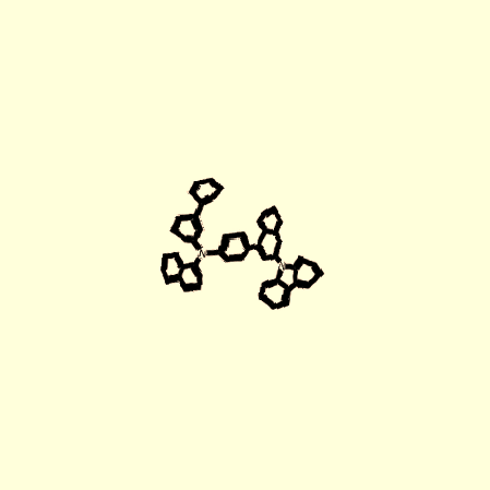 c1ccc(-c2cccc(N(c3ccc(-c4cc(-n5c6ccccc6c6ccccc65)cc5ccccc45)cc3)c3cccc4ccccc34)c2)cc1